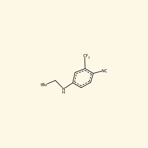 [C-]#[N+]c1ccc(NCC(C)(C)C)cc1C(F)(F)F